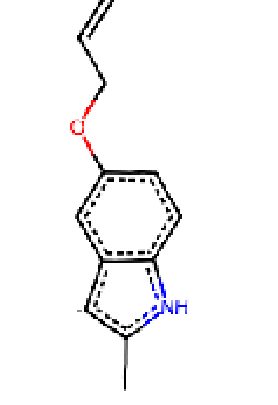 C=CCOc1ccc2[nH]c(C)[c]c2c1